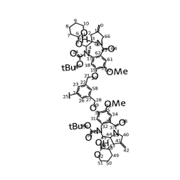 C=C1C[C@H]2C(OC3CCCCO3)N(C(=O)OC(C)(C)C)c3cc(OCc4cc(I)cc(COc5cc6c(cc5OC)C(=O)N5CC(=C)C[C@H]5[C@H](OC5CCCCO5)N6C(=O)OC(C)(C)C)c4)c(OC)cc3C(=O)N2C1